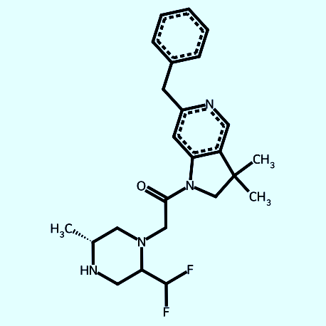 C[C@@H]1CN(CC(=O)N2CC(C)(C)c3cnc(Cc4ccccc4)cc32)C(C(F)F)CN1